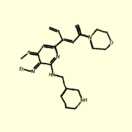 C=C/C(=C\C(=C)N1CCOCC1)C1=CC(=N/C)/C(=N\CC)C(NCC2CCCNC2)=N1